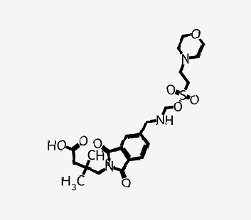 CC(C)(CC(=O)O)CN1C(=O)c2ccc(CNCOS(=O)(=O)CCN3CCOCC3)cc2C1=O